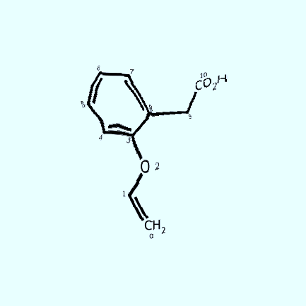 C=COc1ccccc1CC(=O)O